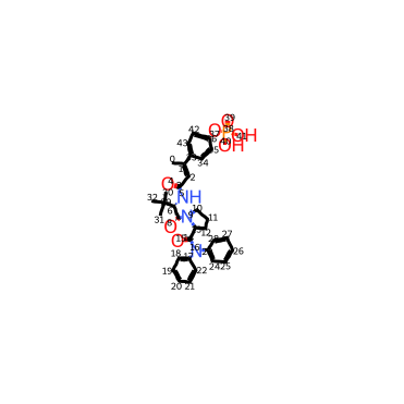 C/C(=C\C(=O)N[C@H](C(=O)N1CCCC1C(=O)N(c1ccccc1)c1ccccc1)C(C)(C)C)c1ccc(OP(=O)(O)O)cc1